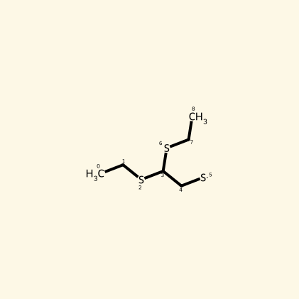 CCSC(C[S])SCC